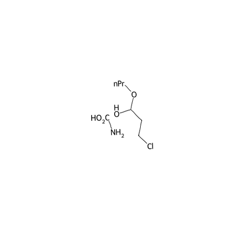 CCCOC(O)CCCl.NC(=O)O